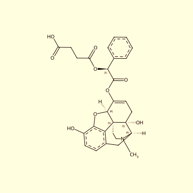 CN1CC[C@]23c4c5ccc(O)c4O[C@H]2C(OC(=O)[C@@H](OC(=O)CCC(=O)O)c2ccccc2)=CC[C@@]3(O)[C@H]1C5